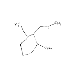 C[CH]CC1C(C)CCCC1C